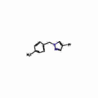 Cc1ccc(Cn2cc(C(C)C)cn2)cc1